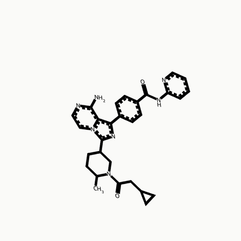 CC1CCC(c2nc(-c3ccc(C(=O)Nc4ccccn4)cc3)c3c(N)nccn23)CN1C(=O)CC1CC1